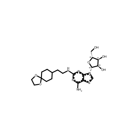 Nc1nc(NCCC2CCC3(CC2)OCCO3)nc2c1ncn2[C@@H]1O[C@H](CO)[C@@H](O)[C@H]1O